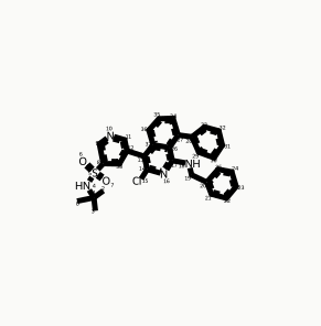 CC(C)(C)NS(=O)(=O)c1cncc(-c2c(Cl)nc(NCc3ccccc3)c3c(-c4ccccc4)cccc23)c1